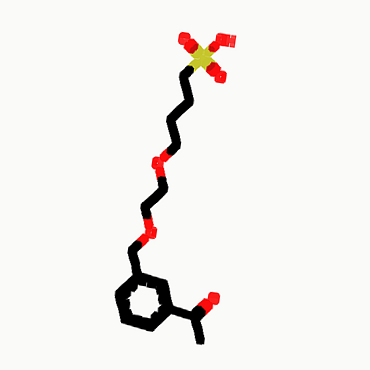 CC(=O)c1cccc(COCCOCCCCS(=O)(=O)O)c1